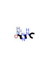 CCC(CC)Nc1cncc(C(N)=O)n1